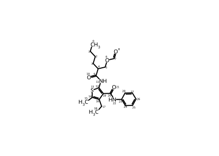 CCCCC(COC=O)C(=O)Nc1sc(C)c(CC)c1C(=O)Nc1ccccc1